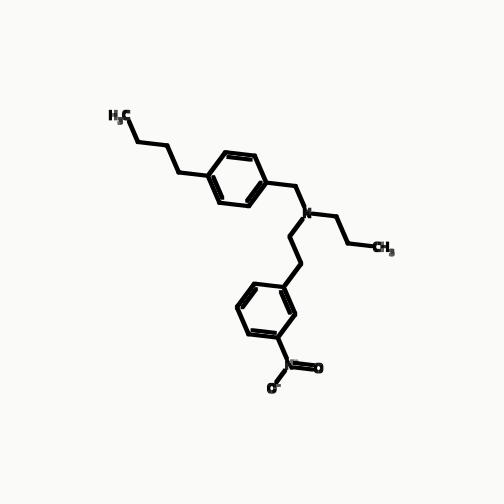 CCCCc1ccc(CN(CCC)CCc2cccc([N+](=O)[O-])c2)cc1